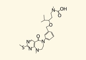 CSc1ncc2c(n1)N(C)CCN(c1cccc(COC(CCN(C)C(=O)O)C(C)C)c1)C2=O